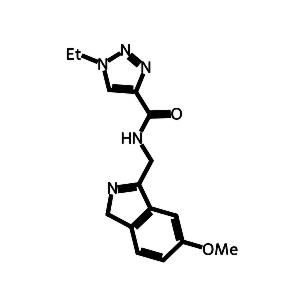 CCn1cc(C(=O)NCC2=NCc3ccc(OC)cc32)nn1